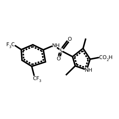 Cc1[nH]c(C(=O)O)c(C)c1S(=O)(=O)Nc1cc(C(F)(F)F)cc(C(F)(F)F)c1